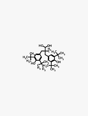 CC(C)(C)c1cc(CC(C)(Cc2cc(C(C)(C)C)c(O)c(C(C)(C)C)c2)C(O)O)cc(C(C)(C)C)c1O